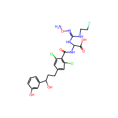 NO/N=C(/NCCF)NC(NC(=O)c1c(Cl)cc(CCC(O)c2cccc(O)c2)cc1Cl)C(=O)O